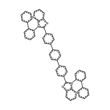 c1ccc(-c2ccccc2-n2c(-c3ccc(-c4ccc(-c5ccc(-c6nc7cccnc7n6-c6ccccc6-c6ccccc6)cc5)cc4)cc3)nc3cccnc32)cc1